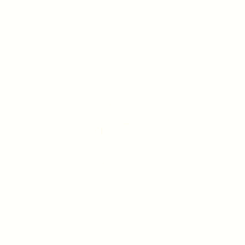 [Cl][Ti]1([Cl])[CH]2C(=Cc3ccccc32)CCC2=Cc3ccccc3[CH]21